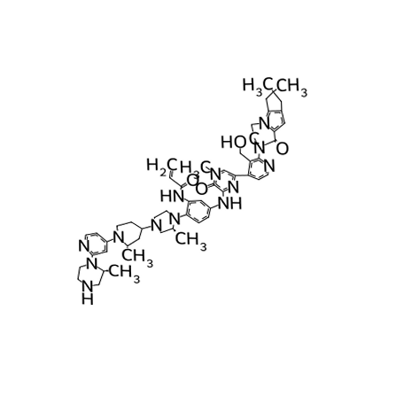 C=CC(=O)Nc1cc(Nc2nc(-c3ccnc(N4CCn5c(cc6c5CC(C)(C)C6)C4=O)c3CO)cn(C)c2=O)ccc1N1CCN(C2CCN(c3ccnc(N4CCNC[C@@H]4C)c3)[C@@H](C)C2)C[C@@H]1C